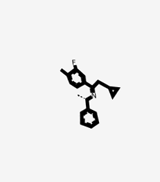 Cc1ccc(/C(CC2CC2)=N\[C@@H](C)c2ccccc2)cc1F